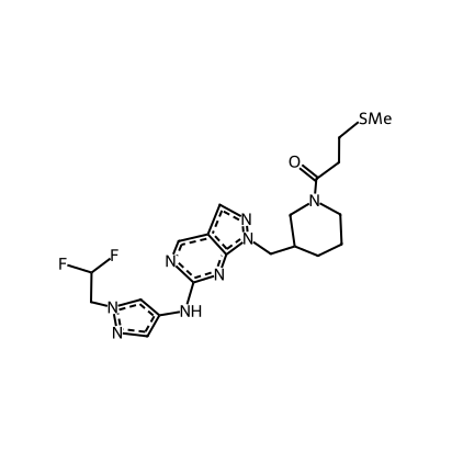 CSCCC(=O)N1CCCC(Cn2ncc3cnc(Nc4cnn(CC(F)F)c4)nc32)C1